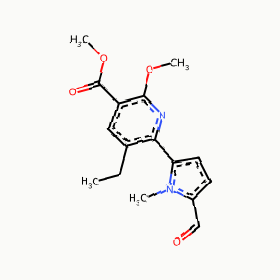 CCc1cc(C(=O)OC)c(OC)nc1-c1ccc(C=O)n1C